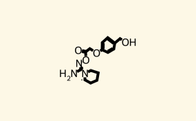 NC(=NOC(=O)COc1ccc(CO)cc1)N1[CH]CCCC1